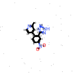 Cc1cc(-c2ccc([N+](=O)[O-])cc2-c2nn[nH]n2)ccn1